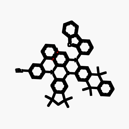 Cc1cc2c3c(c1)N(c1cccc4c1oc1ccccc14)c1cc4c(cc1B3c1cc3c(cc1N2c1ccc(C(C)(C)C)cc1-c1ccccc1)C(C)(C)CC3(C)C)C(C)(C)c1ccccc1C4(C)C